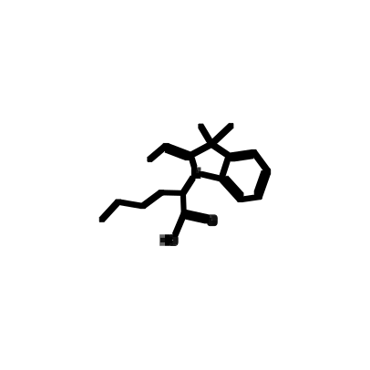 CC=C1N(C(CCCC)C(=O)O)c2ccccc2C1(C)C